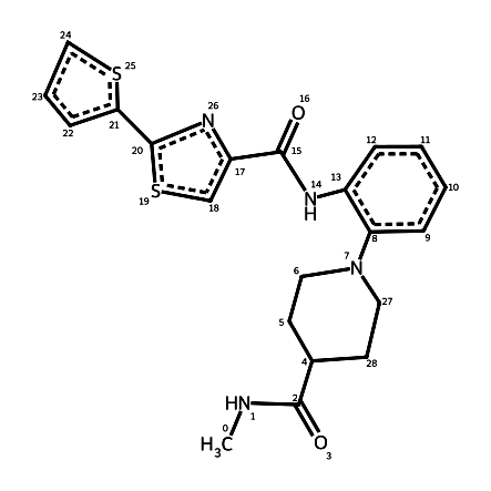 CNC(=O)C1CCN(c2ccccc2NC(=O)c2csc(-c3cccs3)n2)CC1